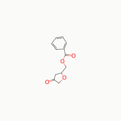 O=C1COC(COC(=O)c2ccccc2)C1